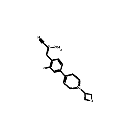 N#C[C@@H](N)Cc1ccc(C2=CCN(C3COC3)CC2)cc1F